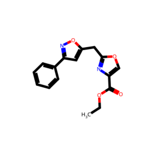 CCOC(=O)c1coc(Cc2cc(-c3ccccc3)no2)n1